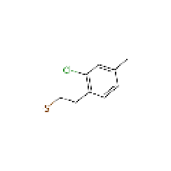 Cc1ccc(CC[S])c(Cl)c1